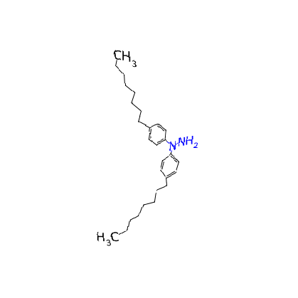 CCCCCCCCc1ccc(N(N)c2ccc(CCCCCCCC)cc2)cc1